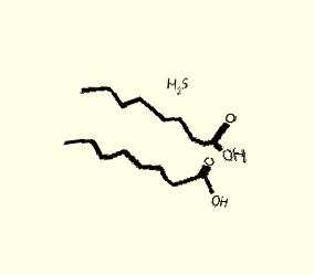 CCCCCCCC(=O)O.CCCCCCCC(=O)O.S